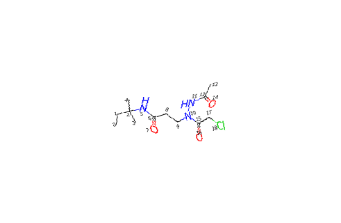 CCC(C)(C)NC(=O)CCN(NC(C)=O)C(=O)CCl